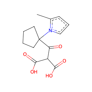 Cc1cccn1C1(C(=O)C(C(=O)O)C(=O)O)CCCC1